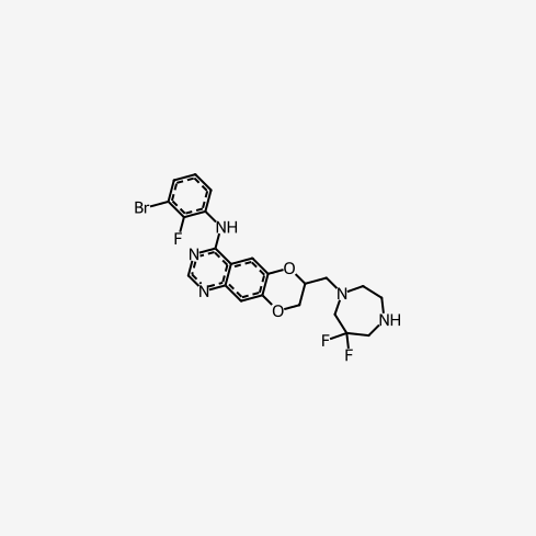 Fc1c(Br)cccc1Nc1ncnc2cc3c(cc12)OC(CN1CCNCC(F)(F)C1)CO3